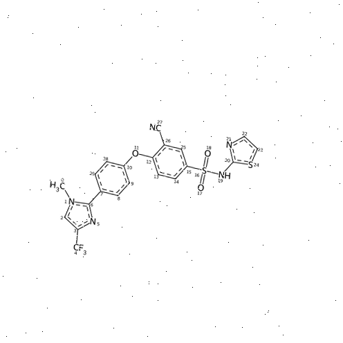 Cn1cc(C(F)(F)F)nc1-c1ccc(Oc2ccc(S(=O)(=O)Nc3nccs3)cc2C#N)cc1